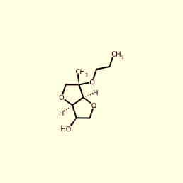 CCCO[C@@]1(C)CO[C@@H]2[C@H](O)CO[C@@H]21